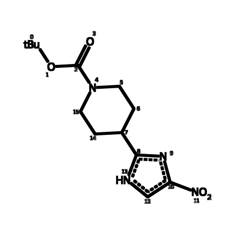 CC(C)(C)OC(=O)N1CCC(c2nc([N+](=O)[O-])c[nH]2)CC1